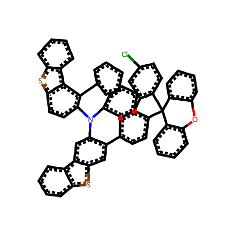 Clc1ccc2c(c1)-c1cc(-c3cc4sc5ccccc5c4cc3N(c3ccccc3)c3ccc4sc5ccccc5c4c3-c3ccccc3)ccc1C21c2ccccc2Oc2ccccc21